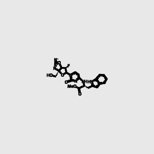 COC(=O)[C@@H](Cc1cc2ccccc2[nH]1)Nc1ccn(C2O[C@@](CO)(N=[N+]=[N-])C(O)[C@@H]2F)c(=O)n1